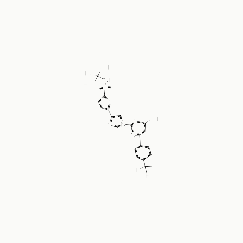 Cc1cc(-c2ccc(C(F)(F)F)cc2)nc(-n2cnc(-c3ccc(S(=O)(=O)NC(C)(C)C)s3)c2)n1